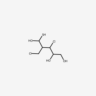 OCC(O)C(Cl)C(CCl)C(O)S